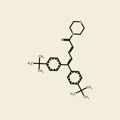 CC(C)(C)c1ccc(C(=C/C=C/C(=O)N2CCSCC2)c2ccc(C(C)(C)C)cc2)cc1